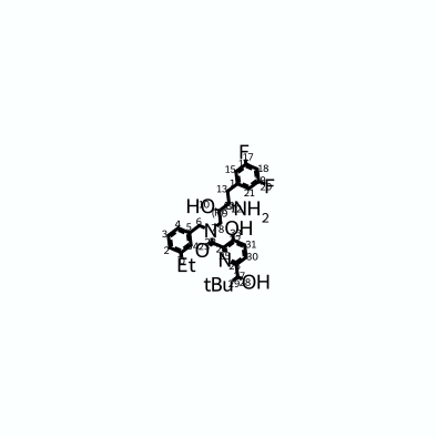 CCc1cccc(CN(C[C@@H](O)[C@@H](N)Cc2cc(F)cc(F)c2)C(=O)c2nc(C(O)C(C)(C)C)ccc2O)c1